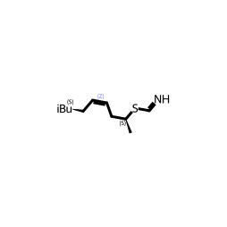 CC[C@H](C)C/C=C\C[C@H](C)SC=N